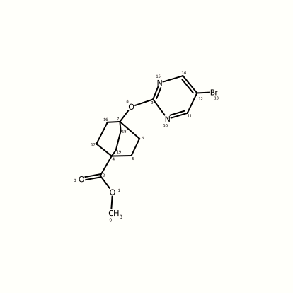 COC(=O)C12CCC(Oc3ncc(Br)cn3)(CC1)CC2